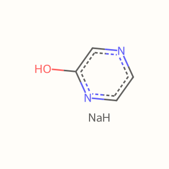 Oc1cnccn1.[NaH]